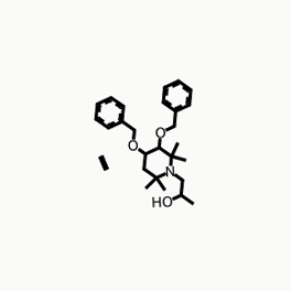 C=C.CC(O)CN1C(C)(C)CC(OCc2ccccc2)C(OCc2ccccc2)C1(C)C